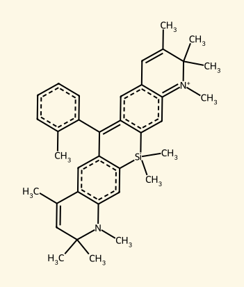 CC1=CC(C)(C)N(C)c2cc3c(cc21)C(c1ccccc1C)=c1cc2c(cc1[Si]3(C)C)=[N+](C)C(C)(C)C(C)=C2